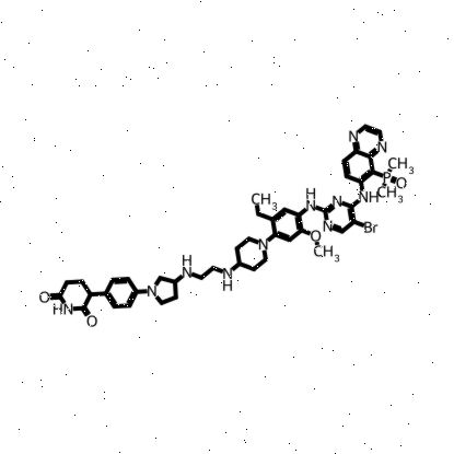 CCc1cc(Nc2ncc(Br)c(Nc3ccc4nccnc4c3P(C)(C)=O)n2)c(OC)cc1N1CCC(NCCNC2CCN(c3ccc(C4CCC(=O)NC4=O)cc3)C2)CC1